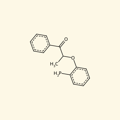 CC(Oc1ccccc1P)C(=O)c1ccccc1